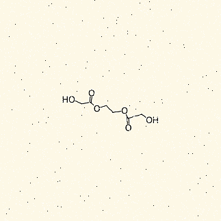 O=C(CO)OCCOC(=O)CO